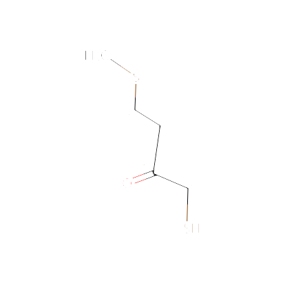 CSCCC(=O)CS